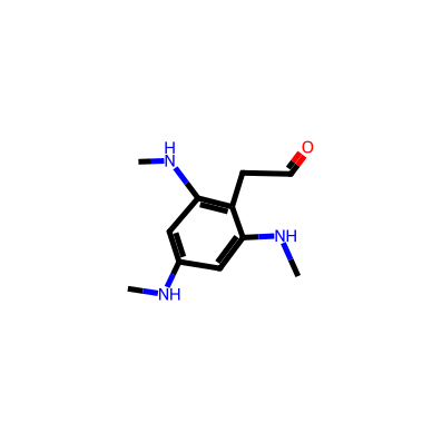 CNc1cc(NC)c(CC=O)c(NC)c1